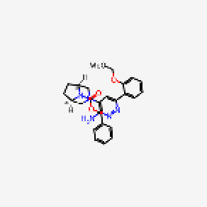 COCOc1ccccc1-c1cc(N2C[C@H]3CC[C@@H](C2)N3C(=O)OCc2ccccc2)c(N)nn1